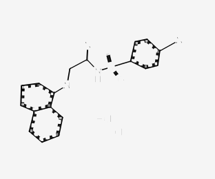 Cl.Cl.Nc1ccc(S(=O)(=O)NC(N)CNc2cccc3ccccc23)cc1